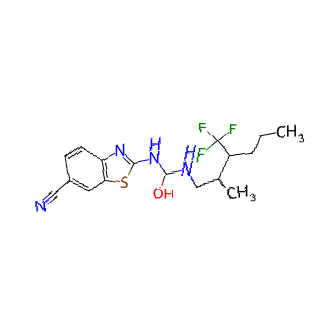 CCCC(C(C)CNC(O)Nc1nc2ccc(C#N)cc2s1)C(F)(F)F